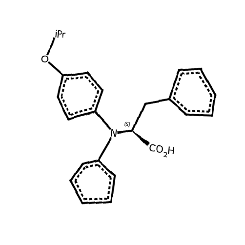 CC(C)Oc1ccc(N(c2ccccc2)[C@@H](Cc2ccccc2)C(=O)O)cc1